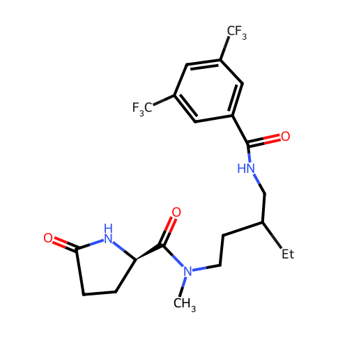 CCC(CCN(C)C(=O)[C@H]1CCC(=O)N1)CNC(=O)c1cc(C(F)(F)F)cc(C(F)(F)F)c1